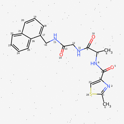 Cc1nc(C(=O)NC(C)C(=O)NCC(=O)NCc2cccc3ccccc23)cs1